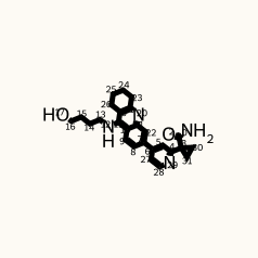 NC(=O)C1(c2cc(-c3ccc4c(NCCCCO)c5c(nc4c3)CCCC5)ccn2)CC1